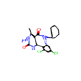 CC1=C(C(=O)NC2CCCCC2)C(c2ccc(Cl)cc2Cl)NC(=O)N1